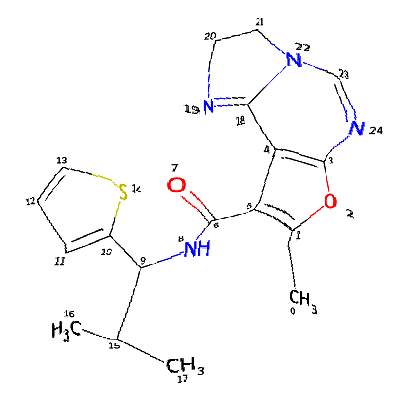 Cc1oc2c(c1C(=O)NC(c1cccs1)C(C)C)C1=NCCN1C=N2